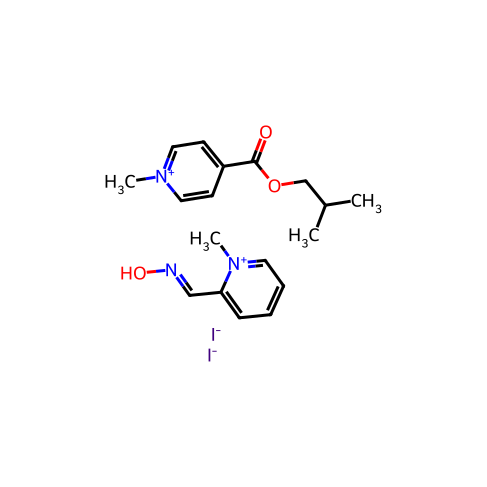 CC(C)COC(=O)c1cc[n+](C)cc1.C[n+]1ccccc1C=NO.[I-].[I-]